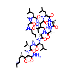 C/C=C/C[C@@H](C)[C@@H](O)[C@@H](C(N)=O)N(C)C(=O)[C@H](C(C)C)N(C)C(=O)[C@H](CC(C)C)N(C)C(=O)[C@H](CC(C)C)N(C)C(=O)[C@@H](C)NC(=O)[C@H](C)NC(=O)[C@H](CC(C)C)N(C)C(=O)[C@@H](NC(=O)[C@H](CC(C)C)N(C)C(=O)CN(C)C(=O)CCC)C(C)C